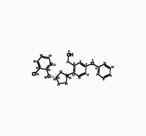 OCc1cc(Oc2ccccc2)ccc1N1CC[C@H](Oc2ncccc2Cl)C1